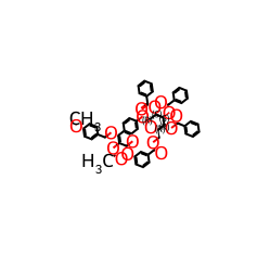 COc1ccc(COc2c(OC(C)=O)c(=O)oc3cc(O[C@H]4O[C@H](COC(=O)c5ccccc5)[C@@H](OC(=O)c5ccccc5)[C@H](OC(=O)c5ccccc5)[C@@H]4OC(=O)c4ccccc4)ccc23)cc1